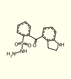 NNS(=O)(=O)c1ccccc1C(=O)c1cccc2c1CCN2